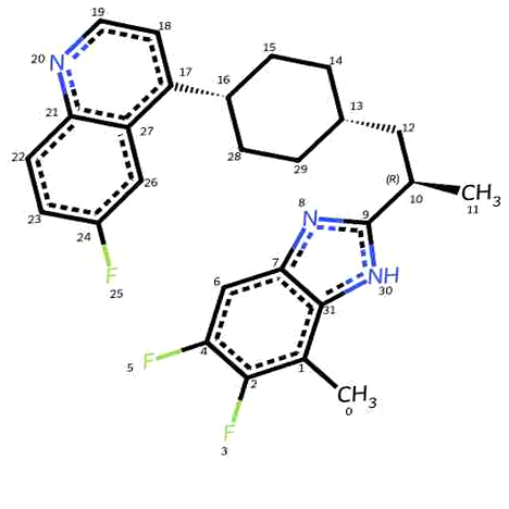 Cc1c(F)c(F)cc2nc([C@H](C)C[C@H]3CC[C@@H](c4ccnc5ccc(F)cc54)CC3)[nH]c12